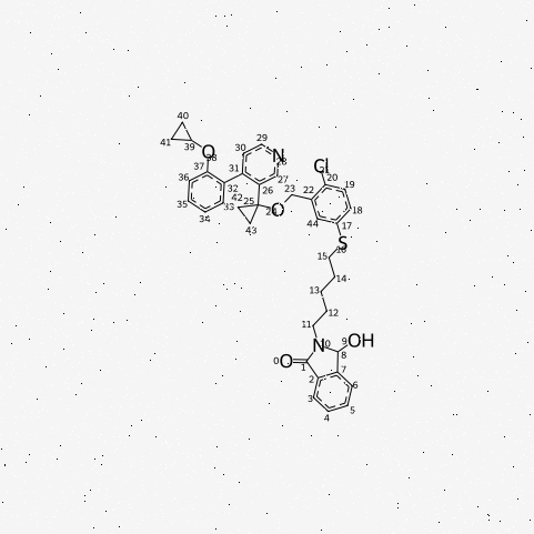 O=C1c2ccccc2C(O)N1CCCCCSc1ccc(Cl)c(COC2(c3cnccc3-c3ccccc3OC3CC3)CC2)c1